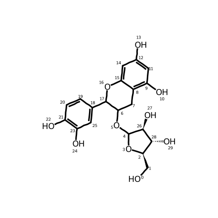 OC[C@H]1OC(OC2Cc3c(O)cc(O)cc3OC2c2ccc(O)c(O)c2)[C@@H](O)[C@@H]1O